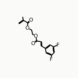 C=C(C)C(=O)OCCOC(=O)/C=C/c1cc(F)cc(F)c1